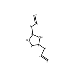 C=CC[C]1OCC(CC=C)O1